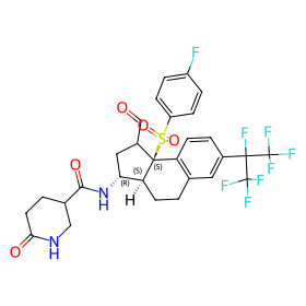 O=CC1C[C@@H](NC(=O)C2CCC(=O)NC2)[C@@H]2CCc3cc(C(F)(C(F)(F)F)C(F)(F)F)ccc3[C@@]12S(=O)(=O)c1ccc(F)cc1